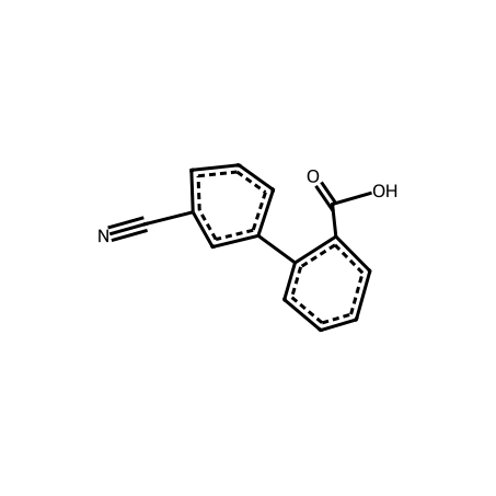 N#Cc1cccc(-c2ccccc2C(=O)O)c1